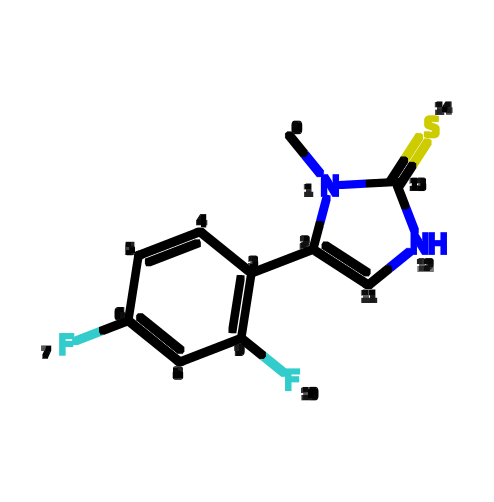 Cn1c(-c2ccc(F)cc2F)c[nH]c1=S